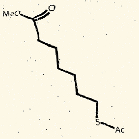 COC(=O)CCCCCCSC(C)=O